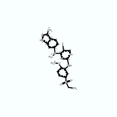 CCS(=O)(=O)c1ccc(OC)c(Nc2ncc(F)c(N(C)c3ccc4c(C)n[nH]c4c3)n2)c1